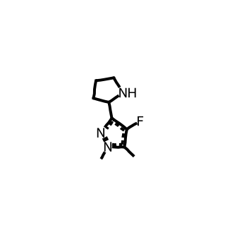 Cc1c(F)c(C2CCCN2)nn1C